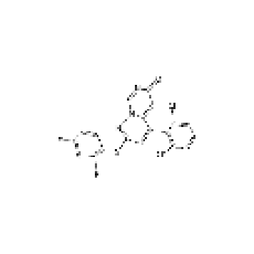 O=c1cc2c(-c3c(Cl)cccc3Cl)cc(Sc3ccc(F)cc3F)nn2cn1